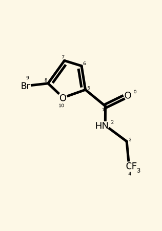 O=C(NCC(F)(F)F)c1ccc(Br)o1